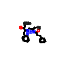 CSCC(=O)C(Cc1ccccc1)NCC(CC(C)C)NC(=O)CCc1ccccc1